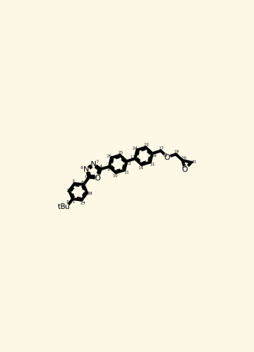 CC(C)(C)c1ccc(-c2nnc(-c3ccc(-c4ccc(COCC5CO5)cc4)cc3)o2)cc1